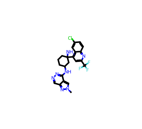 Cn1cc2c(NC3CCCC(N)(c4cc(C(F)(F)F)nc5ccc(Cl)cc45)C3)nncc2n1